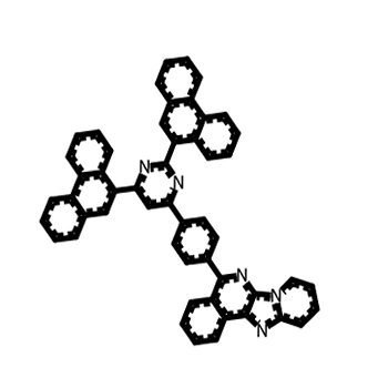 c1ccc2c(c1)cc(-c1cc(-c3ccc(-c4nc5c(nc6ccccn65)c5ccccc45)cc3)nc(-c3cc4ccccc4c4ccccc34)n1)c1ccccc12